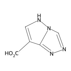 O=C(O)c1c[nH]n2cnnc12